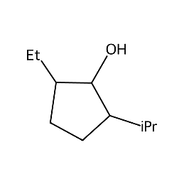 CCC1CCC(C(C)C)C1O